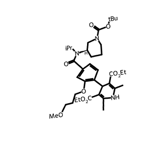 CCOC(=O)C1=C(C)NC(C)=C(C(=O)OCC)C1c1ccc(C(=O)N(C(C)C)[C@@H]2CCCN(C(=O)OC(C)(C)C)C2)cc1OCCCOC